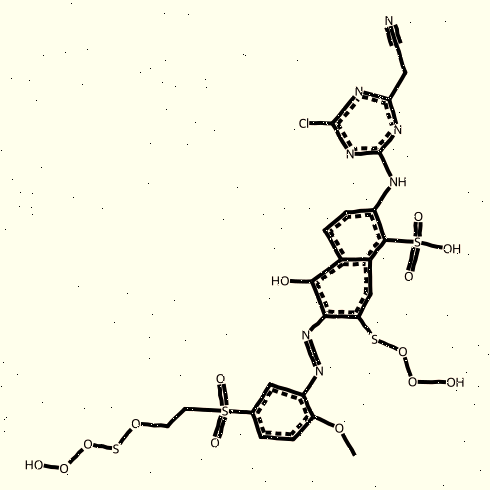 COc1ccc(S(=O)(=O)CCOSOOO)cc1/N=N/c1c(SOOO)cc2c(S(=O)(=O)O)c(Nc3nc(Cl)nc(CC#N)n3)ccc2c1O